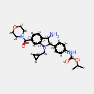 CC(C)OC(=O)Nc1ccc(C2C(N)c3ccc(C(=O)N4CCOCC4)cc3N2CC2CC2)cc1